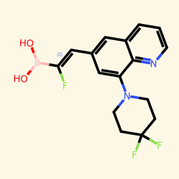 OB(O)/C(F)=C/c1cc(N2CCC(F)(F)CC2)c2ncccc2c1